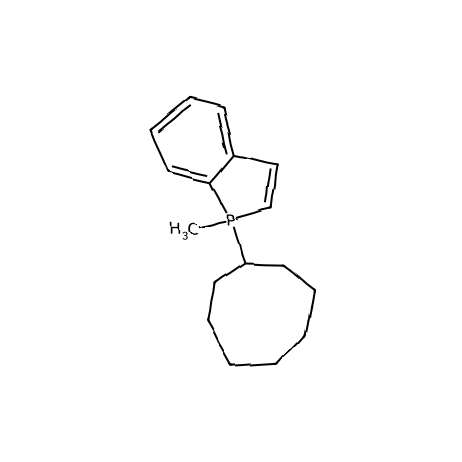 C[P]1(C2CCCCCCC2)C=Cc2ccccc21